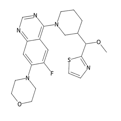 COC(c1nccs1)C1CCCN(c2ncnc3cc(N4CCOCC4)c(F)cc23)C1